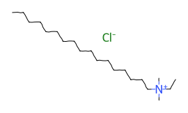 CCCCCCCCCCCCCCCCC[N+](C)(C)CC.[Cl-]